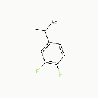 CC(=O)C(C)c1ccc(F)c(F)c1